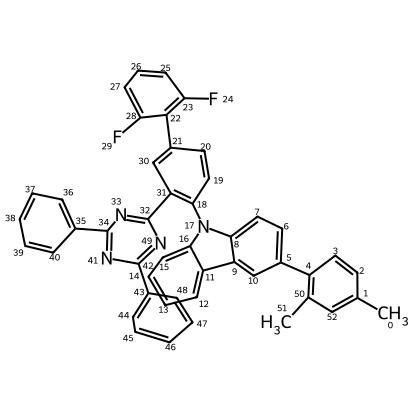 Cc1ccc(-c2ccc3c(c2)c2ccccc2n3-c2ccc(-c3c(F)cccc3F)cc2-c2nc(-c3ccccc3)nc(-c3ccccc3)n2)c(C)c1